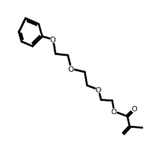 C=C(C)C(=O)OCCOCCOCCOc1ccccc1